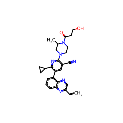 C=Cc1cnc2c(-c3cc(C#N)c(N4CCN(C(=O)CCO)C(C)C4)nc3C3CC3)cccc2n1